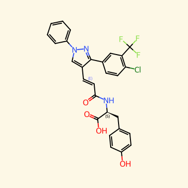 O=C(/C=C/c1cn(-c2ccccc2)nc1-c1ccc(Cl)c(C(F)(F)F)c1)N[C@@H](Cc1ccc(O)cc1)C(=O)O